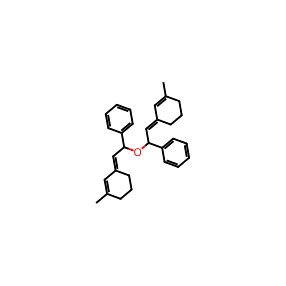 CC1=CC(=CC(OC(C=C2C=C(C)CCC2)c2ccccc2)c2ccccc2)CCC1